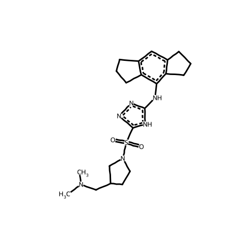 CN(C)CC1CCN(S(=O)(=O)c2nnc(Nc3c4c(cc5c3CCC5)CCC4)[nH]2)C1